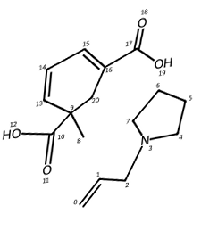 C=CCN1CCCC1.CC1(C(=O)O)C=CC=C(C(=O)O)C1